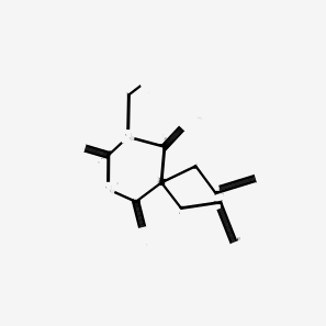 C=CCC1(CC=C)C(=O)NC(=O)N(CC(C)(C)C)C1=O